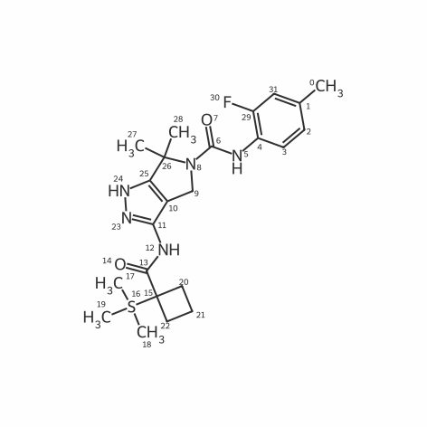 Cc1ccc(NC(=O)N2Cc3c(NC(=O)C4(S(C)(C)C)CCC4)n[nH]c3C2(C)C)c(F)c1